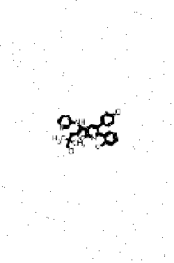 CC(C)(C=O)Cc1oc2nc(-c3ccccc3Cl)c(-c3ccc(Cl)cc3)cc2c1Nc1cccnc1